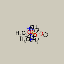 C=C[C@@H]1C[C@@]1(C(=O)NS(=O)(=O)c1cc(COc2ccccc2)ccc1NC)C(C)(C)C